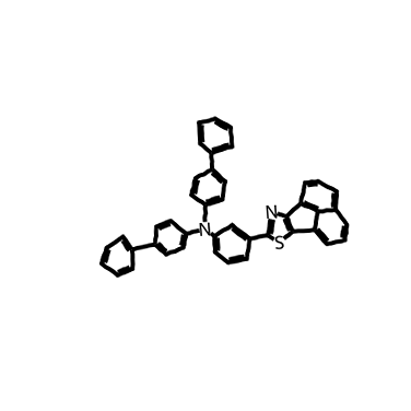 c1ccc(-c2ccc(N(c3ccc(-c4ccccc4)cc3)c3cccc(-c4nc5c(s4)-c4cccc6cccc-5c46)c3)cc2)cc1